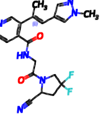 C/C(=C\c1cnn(C)c1)c1cnccc1C(=O)NCC(=O)N1CC(F)(F)CC1C#N